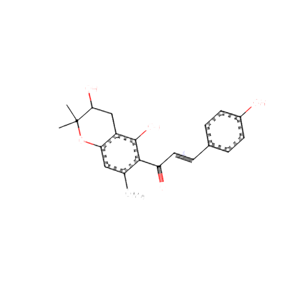 COc1cc2c(c(O)c1C(=O)/C=C/c1ccc(O)cc1)CC(O)C(C)(C)O2